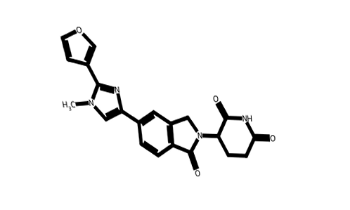 Cn1cc(-c2ccc3c(c2)CN(C2CCC(=O)NC2=O)C3=O)nc1-c1ccoc1